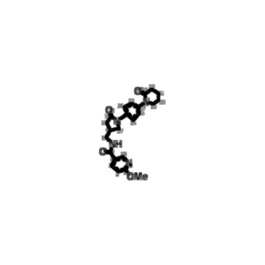 COc1ccc(C(=O)NCC2CC(=O)N(c3ccc(N4CCCCC4=O)cc3)C2)cn1